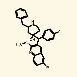 COc1nc2ccc(Br)cc2cc1C(c1ccc(Cl)cc1)C1(O)CCNC(Cc2ccccc2)C1